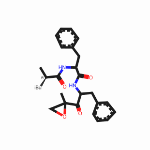 CCC(C)[C@@H](C)C(=O)NC(Cc1ccccc1)C(=O)NC(Cc1ccccc1)C(=O)C1(C)CO1